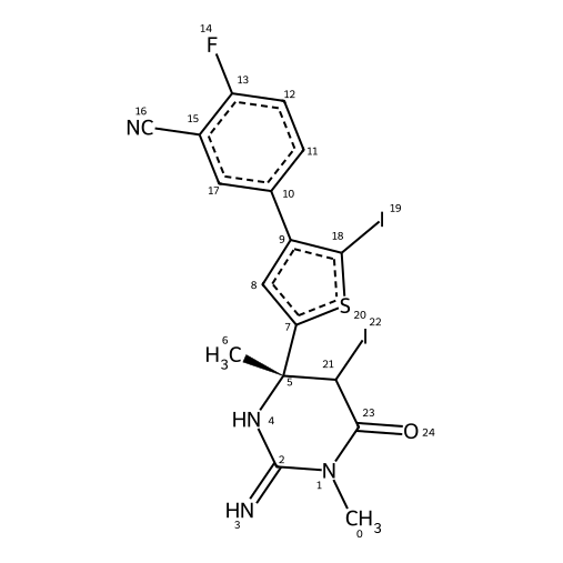 CN1C(=N)N[C@](C)(c2cc(-c3ccc(F)c(C#N)c3)c(I)s2)C(I)C1=O